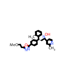 COCCc1nnc(-c2ccc([C@@H](C/C(=N/O)c3ccnc(C)c3)c3ccccc3C)cc2)o1